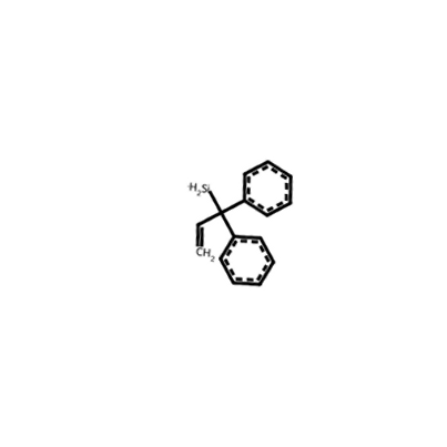 C=CC([SiH2])(c1ccccc1)c1ccccc1